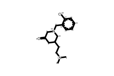 CN(C)CCC1CC(=O)CN(Cc2ccccc2Cl)C1